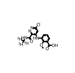 [2H]C([2H])([2H])NC(=O)c1nnc(Cl)cc1Nc1cccc(C(=O)O)c1OC